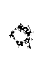 C=C1C[C@@H]2CC[C@@]34C[C@H]5OC6C(O[C@H]7CC[C@H](CC(=O)C[C@@H]8[C@@H](OC)[C@@H](C[C@H]9CO9)O[C@H]8C[C@H]8O[C@@H](CC[C@@H]1O2)C[C@@H](C)C8=C)O[C@@H]7[C@@H]6O3)[C@H]5O4